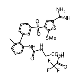 CSc1sc(C(=N)N)cc1S(=O)(=O)c1cccc(-c2c(C)cccc2NC(=O)NCC(=O)O)c1.O=C(O)C(F)(F)F